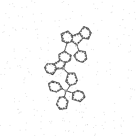 c1ccc(-n2c3ccccc3c3cccc(-c4ccc5c(c4)c4ccccc4n5-c4cccc([Si](c5ccccc5)(c5ccccc5)c5ccccc5)c4)c32)cc1